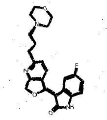 O=C1Nc2ccc(F)cc2/C1=C1/OCc2nc(CCCN3CCOCC3)ccc21